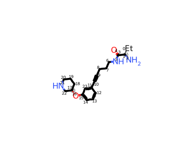 CC[C@H](N)C(=O)NCCCC#Cc1cccc(O[C@@H]2CCCNC2)c1